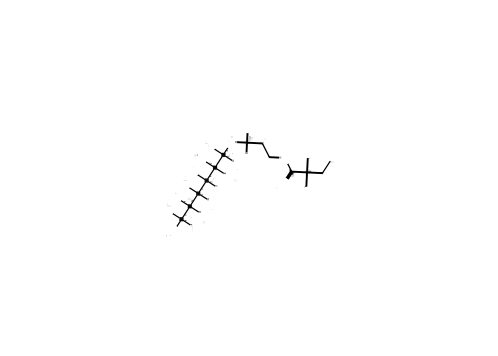 CCC(C)(C)C(=O)OCCC(F)(F)OC(F)(F)C(F)(F)C(F)(F)C(F)(F)C(F)(F)C(F)(F)F